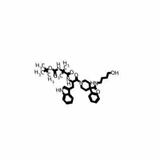 CC(C)(C)OC(=O)NC(C)(C)C(=O)NC(Cc1c[nH]c2ccccc12)C(=O)N1CCC(C(=O)NCCCCO)(c2ccccc2)CC1